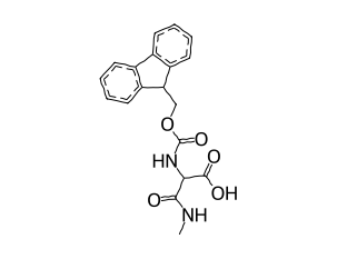 CNC(=O)C(NC(=O)OCC1c2ccccc2-c2ccccc21)C(=O)O